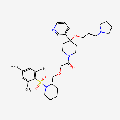 COc1cc(C)c(S(=O)(=O)N2CCCCC2COCC(=O)N2CCC(OCCCN3CCCC3)(c3cccnc3)CC2)c(C)c1